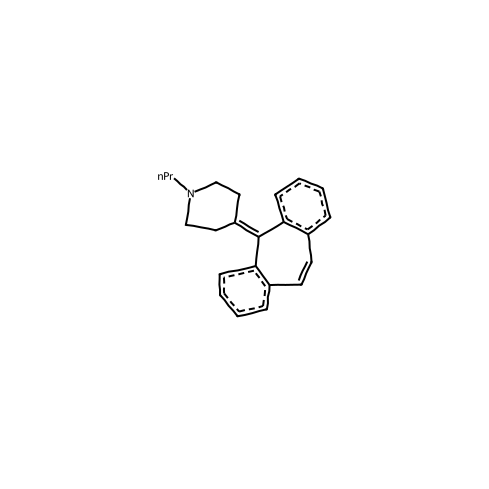 [CH2]CCN1CCC(=C2c3ccccc3C=Cc3ccccc32)CC1